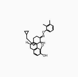 Cc1cccc(ON=C2CCC3(O)[C@H]4Cc5ccc(O)c6c5[C@@]3(CCN4CC3CC3)[C@H]2O6)c1C